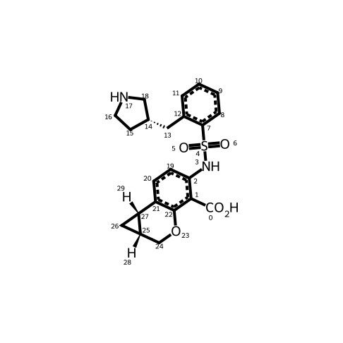 O=C(O)c1c(NS(=O)(=O)c2ccccc2C[C@@H]2CCNC2)ccc2c1OC[C@@H]1C[C@H]21